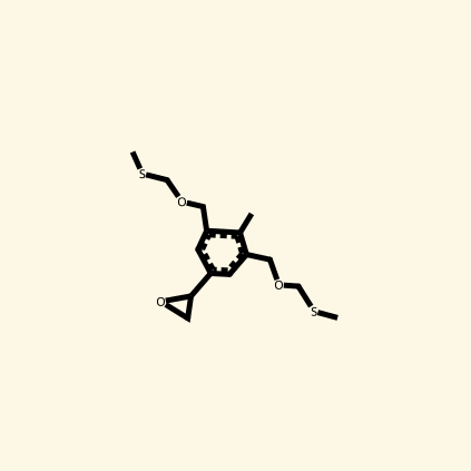 CSCOCc1cc(C2CO2)cc(COCSC)c1C